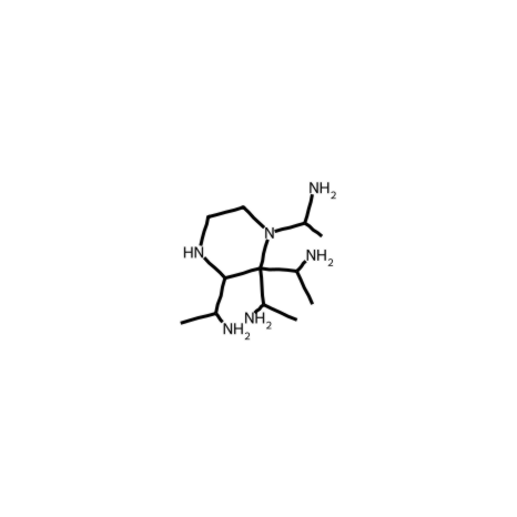 CC(N)C1NCCN(C(C)N)C1(C(C)N)C(C)N